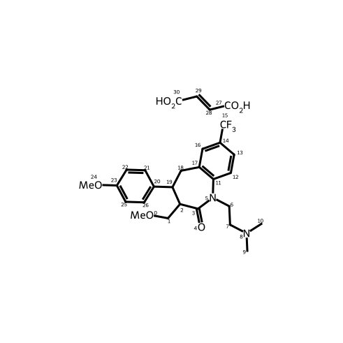 COCC1C(=O)N(CCN(C)C)c2ccc(C(F)(F)F)cc2CC1c1ccc(OC)cc1.O=C(O)C=CC(=O)O